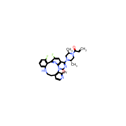 C=CC(=O)N1C[C@H](C)N(c2nc(=O)n3c4nc(c(F)cc24)-c2c(F)cccc2NCCc2ccnc(C(C)C)c2-3)C[C@H]1C